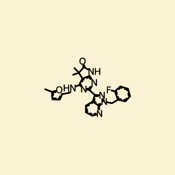 Cc1ccc(CNc2nc(-c3nn(Cc4ccccc4F)c4ncccc34)nc3c2C(C)(C)C(=O)N3)o1